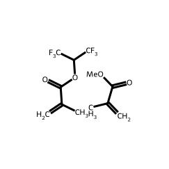 C=C(C)C(=O)OC.C=C(C)C(=O)OC(C(F)(F)F)C(F)(F)F